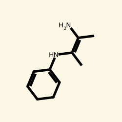 C/C(N)=C(\C)NC1=CCCC=C1